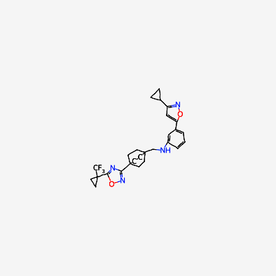 FC(F)(F)C1(c2nc(C34CCC(CNc5cccc(-c6cc(C7CC7)no6)c5)(CC3)CC4)no2)CC1